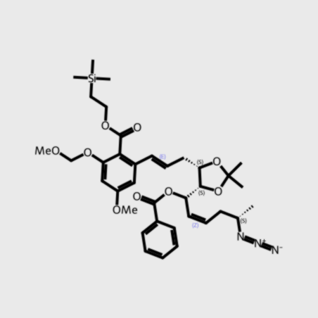 COCOc1cc(OC)cc(/C=C/C[C@@H]2OC(C)(C)O[C@@H]2C(/C=C\C[C@H](C)N=[N+]=[N-])OC(=O)c2ccccc2)c1C(=O)OCC[Si](C)(C)C